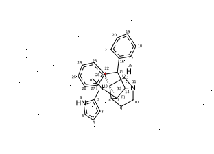 CN(c1ccc[nH]1)[C@@H]1C2CCN(CC2)[C@@H]1C(c1ccccc1)c1ccccc1